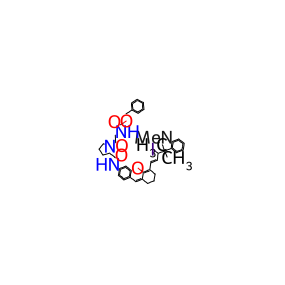 CNc1ccccc1C(C)(C)C(I)/C=C/C1=C2Oc3cc(NC(=O)C4CCCN4C(=O)CNC(=O)OCc4ccccc4)ccc3C=C2CCC1